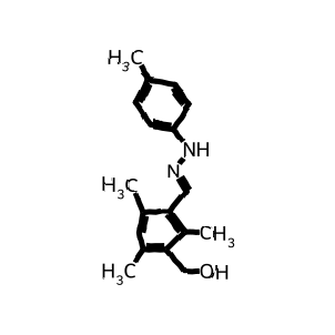 Cc1ccc(N/N=C/c2c(C)cc(C)c(CO)c2C)cc1